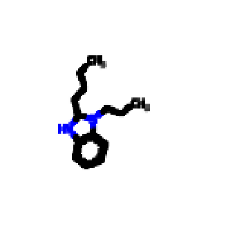 CCCCC1Nc2ccccc2N1CCC